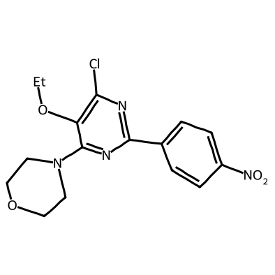 CCOc1c(Cl)nc(-c2ccc([N+](=O)[O-])cc2)nc1N1CCOCC1